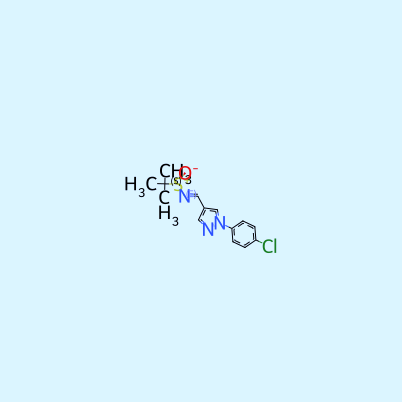 CC(C)(C)[S@@+]([O-])/N=C/c1cnn(-c2ccc(Cl)cc2)c1